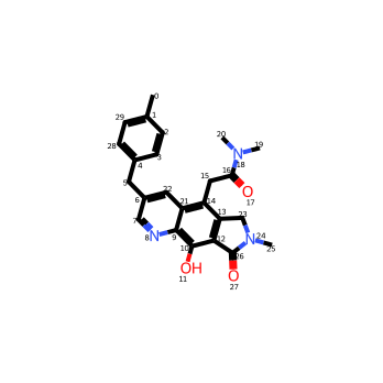 Cc1ccc(Cc2cnc3c(O)c4c(c(CC(=O)N(C)C)c3c2)CN(C)C4=O)cc1